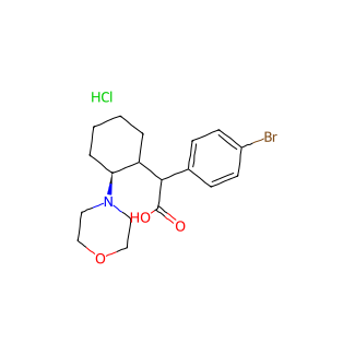 Cl.O=C(O)C(c1ccc(Br)cc1)C1CCCC[C@@H]1N1CCOCC1